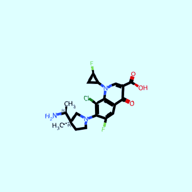 C[C@H](N)[C@]1(C)CCN(c2c(F)cc3c(=O)c(C(=O)O)cn(C4CC4F)c3c2Cl)C1